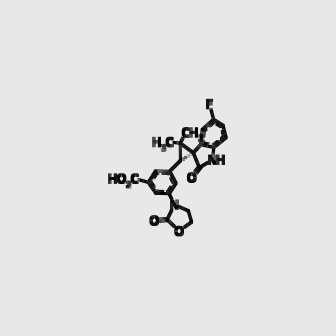 CC1(C)C(c2cc(C(=O)O)cc(N3CCOC3=O)c2)[C@]12C(=O)Nc1ccc(F)cc12